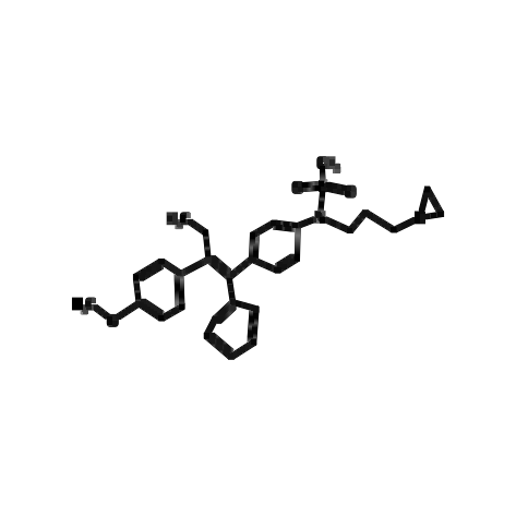 CCC(=C(c1ccccc1)c1ccc(N(CCCN2CC2)S(C)(=O)=O)cc1)c1ccc(OC)cc1